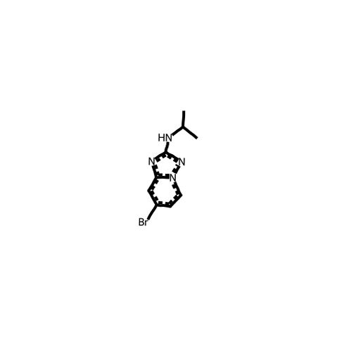 CC(C)Nc1nc2cc(Br)ccn2n1